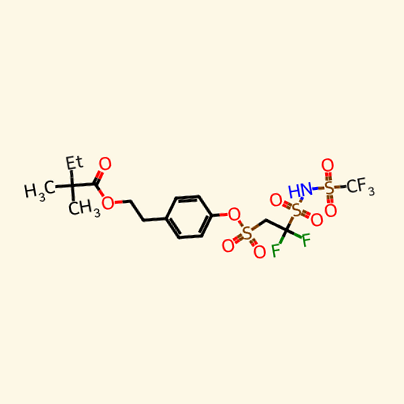 CCC(C)(C)C(=O)OCCc1ccc(OS(=O)(=O)CC(F)(F)S(=O)(=O)NS(=O)(=O)C(F)(F)F)cc1